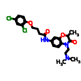 CC1Oc2cc(NC(=O)CCCOc3ccc(Cl)cc3Cl)ccc2N(CCN(C)C)C1=O